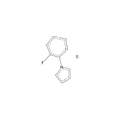 Fc1cc[c]cc1-n1cccc1.[Ti]